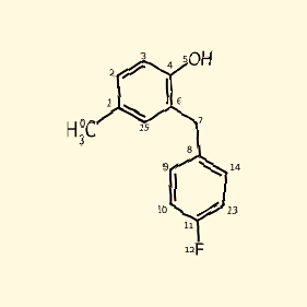 Cc1ccc(O)c(Cc2ccc(F)cc2)c1